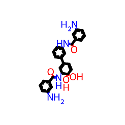 Nc1cccc(C(=O)Nc2cccc(C3=CC(NC(=O)c4cccc(N)c4)C(O)(O)C=C3)c2)c1